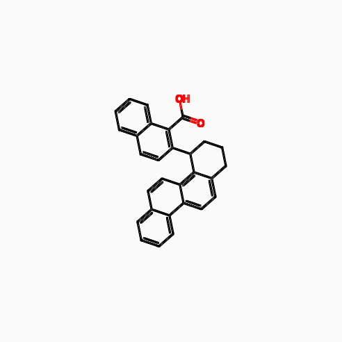 O=C(O)c1c(C2CCCc3ccc4c(ccc5ccccc54)c32)ccc2ccccc12